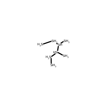 [SiH3][SiH2][SiH]([SiH3])[SiH]([SiH3])[SiH2][SiH3]